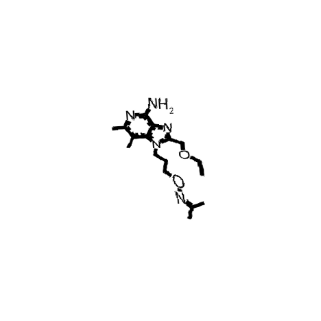 CCOCc1nc2c(N)nc(C)c(C)c2n1CCCON=C(C)C